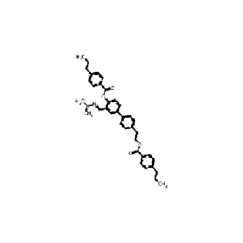 CCCc1ccc(C(=O)OCCc2ccc(-c3ccc(OC(=O)c4ccc(CCC)cc4)c(/C=N/N(C)C)c3)cc2)cc1